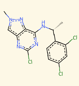 C[C@@H](Nc1nc(Cl)nc2cn(C)nc12)c1ccc(Cl)cc1Cl